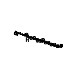 CC(=O)CCOCCOCCOCCOCCOCCC(=O)NCCCOCCOCCOCCCNC(=O)/C=C(C)/C=C/C=C(C)/C=C/C1=C(C)CCCC1(C)C